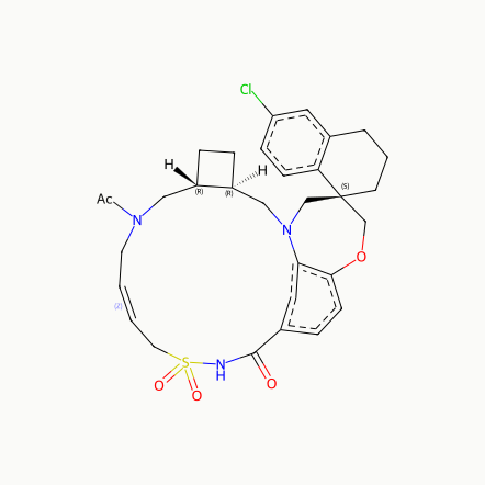 CC(=O)N1C/C=C\CS(=O)(=O)NC(=O)c2ccc3c(c2)N(C[C@@H]2CC[C@H]2C1)C[C@@]1(CCCc2cc(Cl)ccc21)CO3